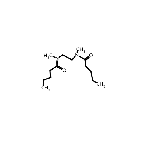 CCCCC(=O)N(C)CCN(C)C(=O)CCCC